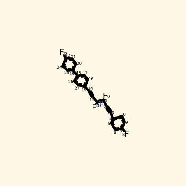 F/C(C#Cc1ccc(F)cc1)=C(/F)C#Cc1ccc(-c2ccc(F)cc2)cc1